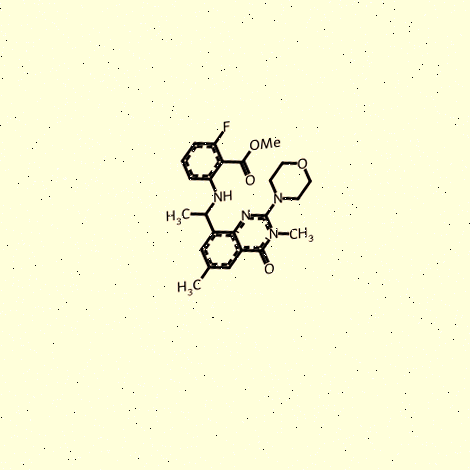 COC(=O)c1c(F)cccc1NC(C)c1cc(C)cc2c(=O)n(C)c(N3CCOCC3)nc12